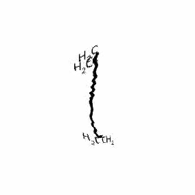 C=CC(=C)CCCCCCCC=CCCCCCCCC(=C)C=C